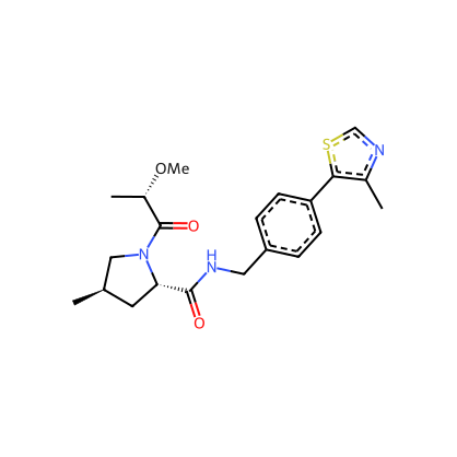 CO[C@@H](C)C(=O)N1C[C@H](C)C[C@H]1C(=O)NCc1ccc(-c2scnc2C)cc1